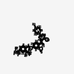 COc1cc(OCc2ccc(C(F)(F)F)cc2C(F)(F)F)ccc1C(C)=C1SC(N2CCN(C)CC2)=NC1=O